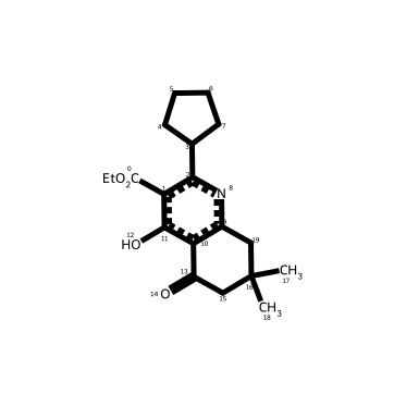 CCOC(=O)c1c(C2CCCC2)nc2c(c1O)C(=O)CC(C)(C)C2